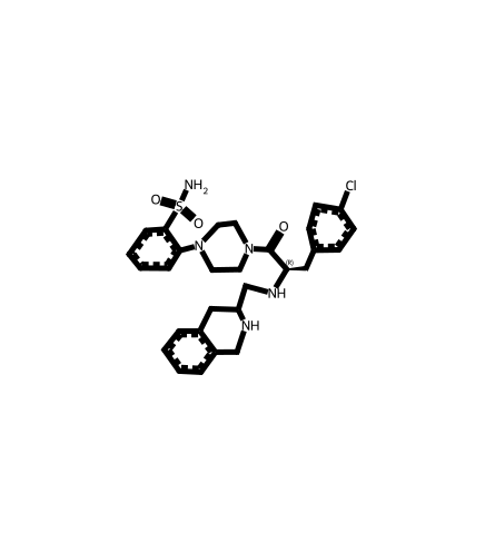 NS(=O)(=O)c1ccccc1N1CCN(C(=O)[C@@H](Cc2ccc(Cl)cc2)NCC2Cc3ccccc3CN2)CC1